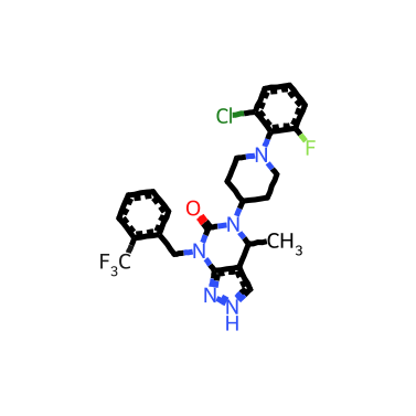 CC1c2c[nH]nc2N(Cc2ccccc2C(F)(F)F)C(=O)N1C1CCN(c2c(F)cccc2Cl)CC1